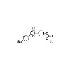 CCCCOC(=O)ON1CCC(c2nc(-c3ccc(C(C)(C)C)cc3)c[nH]2)CC1